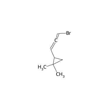 CC1(C)CC1C=C=CBr